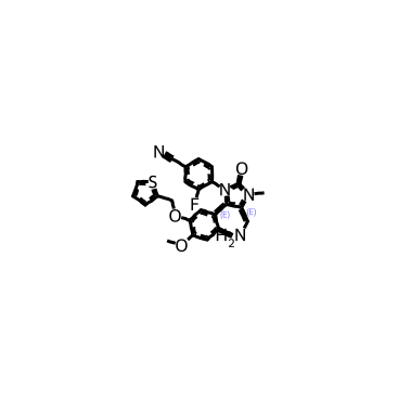 C=c1cc(OC)c(OCc2cccs2)c/c1=c1/c(=C\N)n(C)c(=O)n1-c1ccc(C#N)cc1F